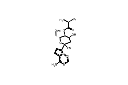 CC(=O)OC[C@H]1O[C@@](C#N)(c2ccc3c(N)ncnn23)C[C@H](O)[C@@H]1OC(=O)[C@@H](N)C(C)C